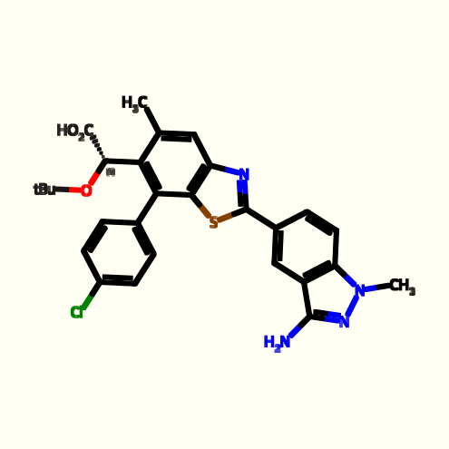 Cc1cc2nc(-c3ccc4c(c3)c(N)nn4C)sc2c(-c2ccc(Cl)cc2)c1[C@H](OC(C)(C)C)C(=O)O